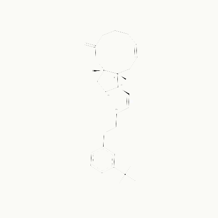 O=C1CCCC=CC[C@@H]2[C@@H](/C=C\[C@@H](O)COc3cccc(C(F)(F)F)c3)[C@H](O)C[C@@H]2O1